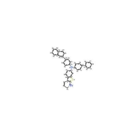 C1=Cc2c(sc3cc(N(c4ccc(-c5ccccc5)cc4)c4ccc(-c5ccc6ccccc6c5)cc4)ccc23)NC1